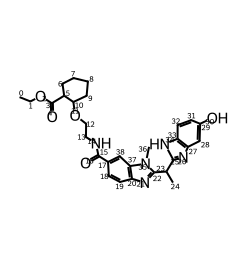 CCOC(=O)C1CCCCC1OCCNC(=O)c1ccc2nc(C(C)c3nc4cc(O)ccc4[nH]3)n(C)c2c1